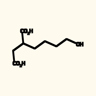 O=C(O)CC(CCCCO)C(=O)O